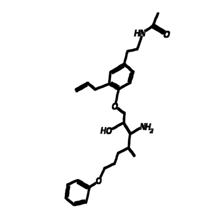 C=CCc1cc(CCNC(C)=O)ccc1OCC(O)C(N)C(C)CCCOc1ccccc1